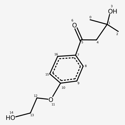 CC(C)(O)CC(=O)c1ccc(OCCO)cc1